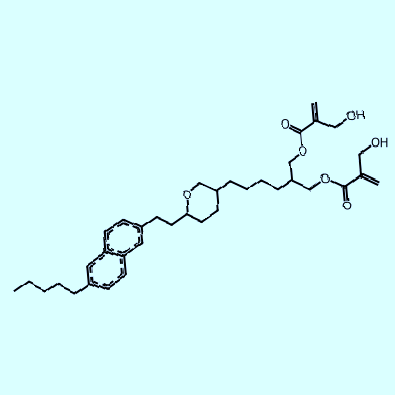 C=C(CO)C(=O)OCC(CCCCC1CCC(CCc2ccc3cc(CCCCC)ccc3c2)OC1)COC(=O)C(=C)CO